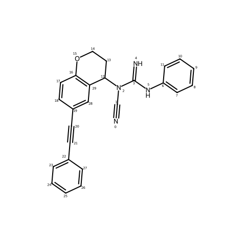 N#CN(C(=N)Nc1ccccc1)C1CCOc2ccc(C#Cc3ccccc3)cc21